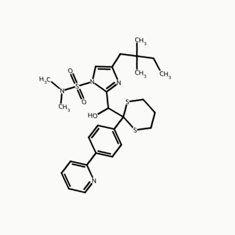 CCC(C)(C)Cc1cn(S(=O)(=O)N(C)C)c(C(O)C2(c3ccc(-c4ccccn4)cc3)SCCCS2)n1